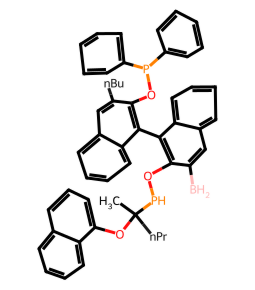 Bc1cc2ccccc2c(-c2c(OP(c3ccccc3)c3ccccc3)c(CCCC)cc3ccccc23)c1OPC(C)(CCC)Oc1cccc2ccccc12